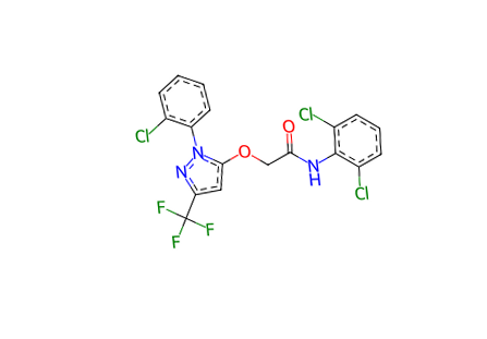 O=C(COc1cc(C(F)(F)F)nn1-c1ccccc1Cl)Nc1c(Cl)cccc1Cl